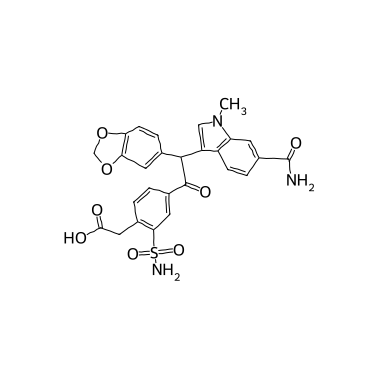 Cn1cc(C(C(=O)c2ccc(CC(=O)O)c(S(N)(=O)=O)c2)c2ccc3c(c2)OCO3)c2ccc(C(N)=O)cc21